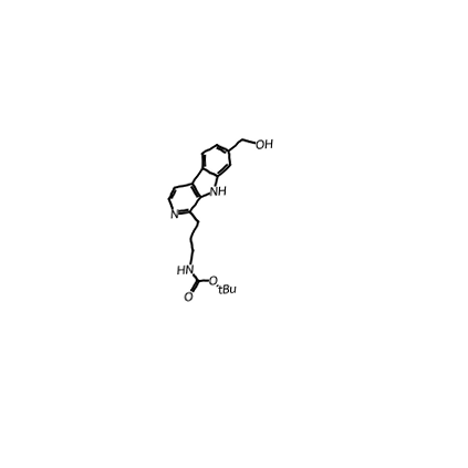 CC(C)(C)OC(=O)NCCCc1nccc2c1[nH]c1cc(CO)ccc12